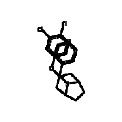 Clc1ccc(OC2CC3CCC(C2)N3Cc2ccncc2)cc1Cl